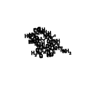 C[C@H](NC(=O)[C@@H](N)CCC(=O)O)C(=O)N[C@@H](CCCCN)C(=O)N[C@@H](CO)C(=O)N[C@@H](CCC(N)=O)C(=O)NCC(=O)NCC(=O)N[C@@H](CO)C(=O)N[C@@H](CC(N)=O)C(=O)O